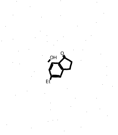 CCc1ccc2c(c1)CCC2=O.CO